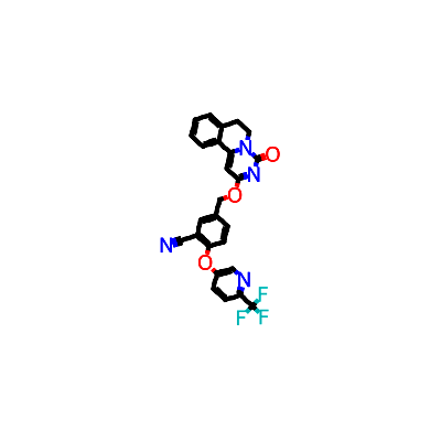 N#Cc1cc(COc2cc3n(c(=O)n2)CCc2ccccc2-3)ccc1Oc1ccc(C(F)(F)F)nc1